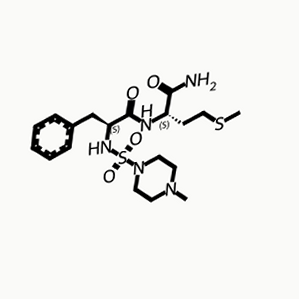 CSCC[C@H](NC(=O)[C@H](Cc1ccccc1)NS(=O)(=O)N1CCN(C)CC1)C(N)=O